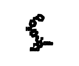 COc1cc(OC)c(F)c(COc2cnc(Nc3ccc(CN4CCCCC4)cc3)nc2)c1F